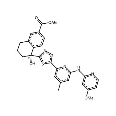 COC(=O)c1ccc2c(c1)CCC[C@]2(O)c1ncc(-c2cc(C)cc(Nc3cc(OC)ccn3)n2)s1